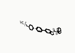 O=C(O)C[C@H]1CC[C@H](c2ccc(-c3ccc4c(c3)CCN4C(=O)NC34CC5CC(CC(C5)C3)C4)cc2)CC1